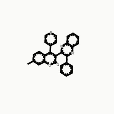 Cc1ccc2c(-c3ccncc3)c(-c3nc4ccccc4nc3-c3ccccc3)c(=O)oc2c1